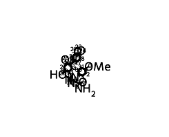 COc1ccc(-n2c(C(N)=O)nnc2-c2cc(-c3ccc4c(c3)CCO4)c(O)cc2O)cc1